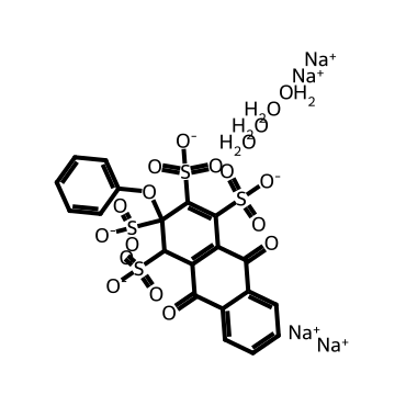 O.O.O.O.O=C1C2=C(C(=O)c3ccccc31)C(S(=O)(=O)[O-])C(Oc1ccccc1)(S(=O)(=O)[O-])C(S(=O)(=O)[O-])=C2S(=O)(=O)[O-].[Na+].[Na+].[Na+].[Na+]